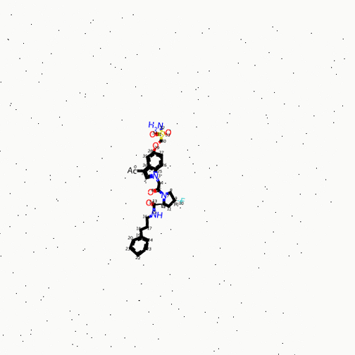 CC(=O)c1cn(CC(=O)N2C[C@H](F)C[C@H]2C(=O)NCCCc2ccccc2)c2ccc(OCS(N)(=O)=O)cc12